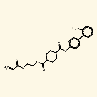 C=CC(=O)OCCOC(=O)C1CCC(C(=O)Oc2ccc(-c3ccccc3C)cc2)CC1